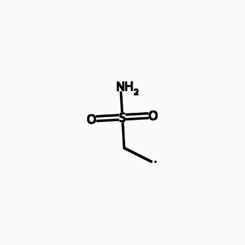 [CH2]CS(N)(=O)=O